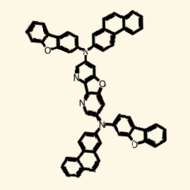 c1ccc2c(c1)ccc1cc(N(c3ccc4c(c3)oc3ccccc34)c3cnc4c(c3)oc3cc(N(c5ccc6c(ccc7ccccc76)c5)c5ccc6c(c5)oc5ccccc56)cnc34)ccc12